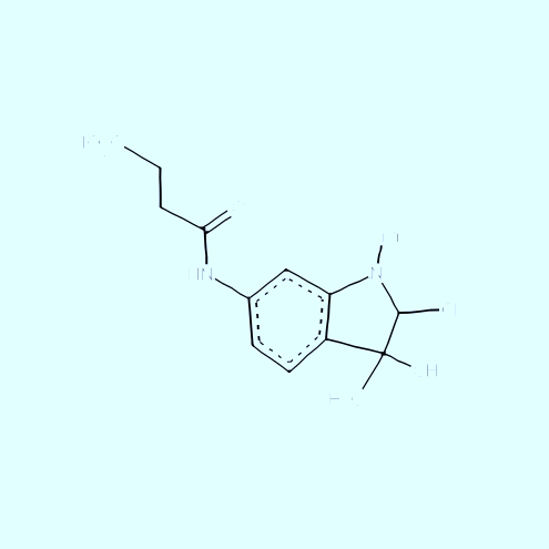 CC(C)N1c2cc(NC(=O)CCC(=O)O)ccc2C(C)(C)C1C